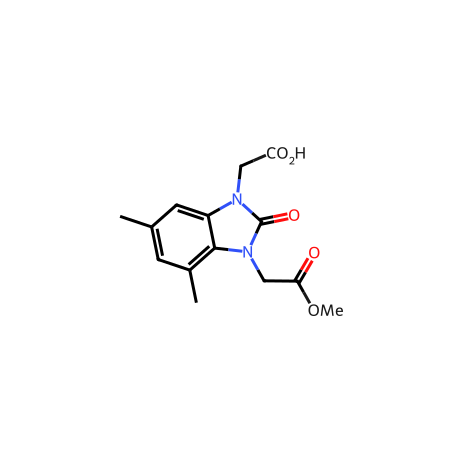 COC(=O)Cn1c(=O)n(CC(=O)O)c2cc(C)cc(C)c21